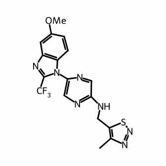 COc1ccc2c(c1)nc(C(F)(F)F)n2-c1cnc(NCc2snnc2C)cn1